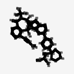 [2H]C([2H])([2H])N1C(=O)c2cccc(C#CC)c2[C@H]2C[C@@H]1c1nc3ccc(-c4cnc(C5(N[S+]([O-])C(C)(C)C)CCOCC5)nc4)cc3n12